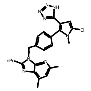 CCCc1nc2c(C)cc(C)nc2n1Cc1ccc(-c2c(-c3nnn[nH]3)cc(Cl)n2C)cc1